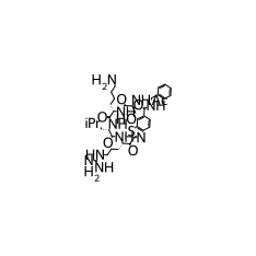 CC(=O)N[C@@H](CO)C(=O)N[C@@H](CCCCN)C(=O)N[C@@H](CC(C)C)C(=O)N[C@@H](CCCNC(=N)N)C(=O)c1nc2ccc(C(=O)NCc3ccccc3)cc2s1